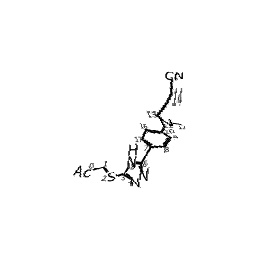 CC(=O)CSc1nnc(-c2ccc(N(C)CCC#N)cc2)[nH]1